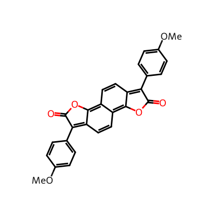 COc1ccc(C2=c3ccc4c5c(ccc4c3OC2=O)=C(c2ccc(OC)cc2)C(=O)O5)cc1